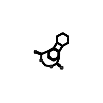 O=C1OCOC(=O)c2ccc1c1c2C2CCCCC12